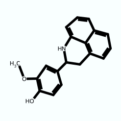 COc1cc(C2Cc3cccc4cccc(c34)N2)ccc1O